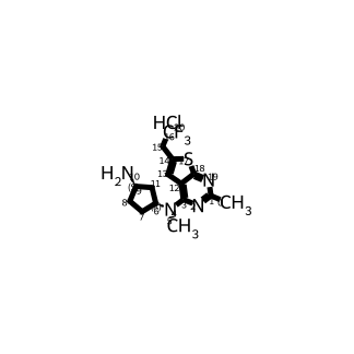 Cc1nc(N(C)[C@@H]2CC[C@H](N)C2)c2cc(CC(F)(F)F)sc2n1.Cl